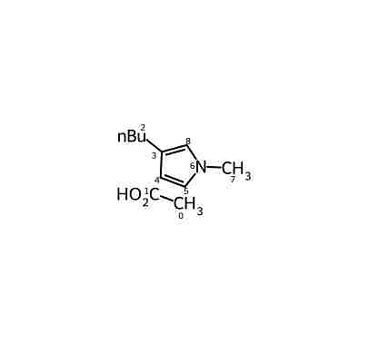 CC(=O)O.CCCCc1ccn(C)c1